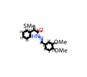 COc1ccc(C=NNC(=O)C(SC)c2ccccc2)cc1OC